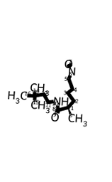 C[C@H](CCCCN=O)C(=O)NCCC(C)(C)C